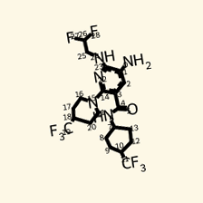 Nc1cc(C(=O)NC2CCC(C(F)(F)F)CC2)c(N2CCC(C(F)(F)F)CC2)nc1NCC(F)F